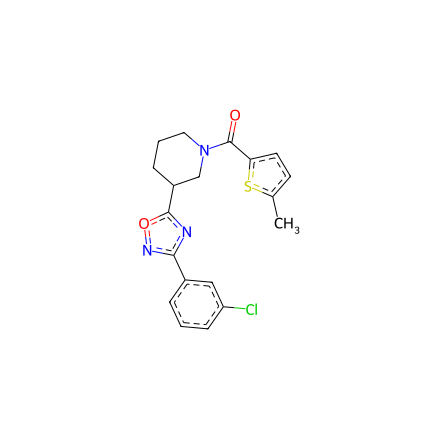 Cc1ccc(C(=O)N2CCCC(c3nc(-c4cccc(Cl)c4)no3)C2)s1